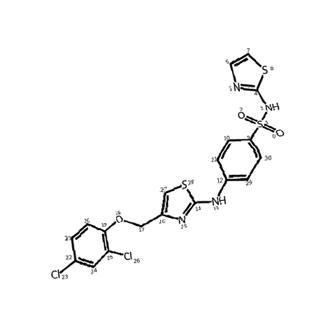 O=S(=O)(Nc1nccs1)c1ccc(Nc2nc(COc3ccc(Cl)cc3Cl)cs2)cc1